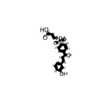 O=C(O)CCNS(=O)(=O)c1ccc(C(=O)/C=C/c2cccc(O)c2)cc1